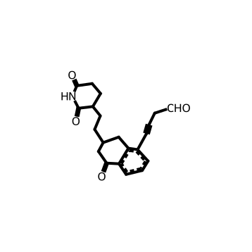 O=CCC#Cc1cccc2c1CC(CCC1CCC(=O)NC1=O)CC2=O